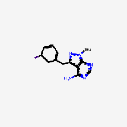 CC(C)(C)n1nc(CC2=CC=CC(I)C2)c2c(N)ncnc21